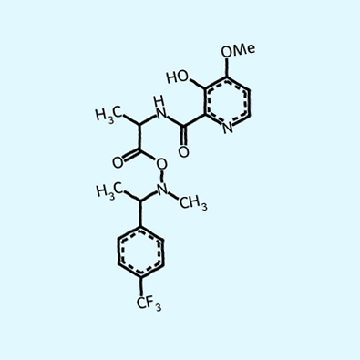 COc1ccnc(C(=O)NC(C)C(=O)ON(C)C(C)c2ccc(C(F)(F)F)cc2)c1O